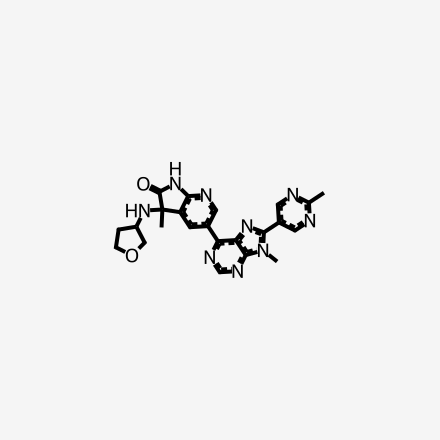 Cc1ncc(-c2nc3c(-c4cnc5c(c4)C(C)(NC4CCOC4)C(=O)N5)ncnc3n2C)cn1